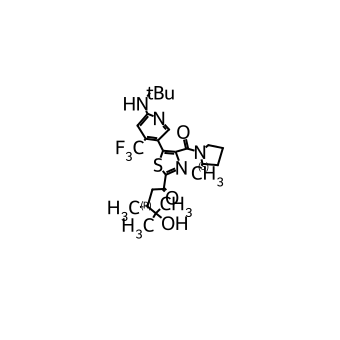 C[C@H](CC(=O)c1nc(C(=O)N2CCC[C@@H]2C)c(-c2cnc(NC(C)(C)C)cc2C(F)(F)F)s1)C(C)(C)O